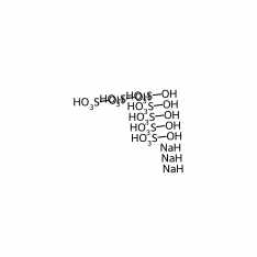 O=S(=O)(O)O.O=S(=O)(O)O.O=S(=O)(O)O.O=S(=O)(O)O.O=S(=O)(O)O.O=S(=O)(O)O.O=S(=O)(O)O.[NaH].[NaH].[NaH]